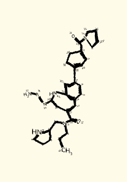 CCCN(CC1CCCN1)C(=O)C1=Cc2ccc(C3=CC=C(C(=O)N4CCCC4)CC3)cc2NC(N=NN)C1